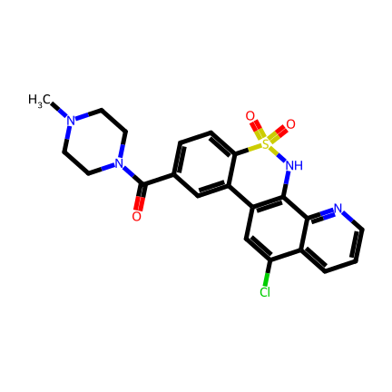 CN1CCN(C(=O)c2ccc3c(c2)-c2cc(Cl)c4cccnc4c2NS3(=O)=O)CC1